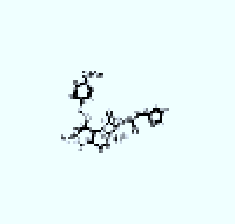 COc1ccc(COC(=O)C2=C(COC(C)=O)CS[C@H]3N2C(=O)[C@@]3(C)NC(=O)Cc2cccs2)cc1